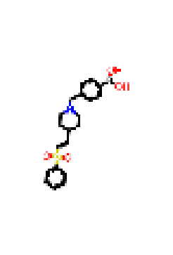 O=S(=O)(C=CC1CCN(Cc2ccc(B(O)O)cc2)CC1)c1ccccc1